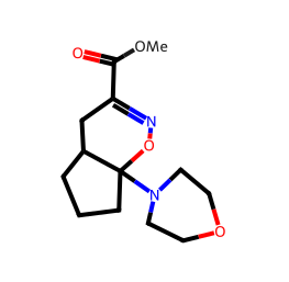 COC(=O)C1=NOC2(N3CCOCC3)CCCC2C1